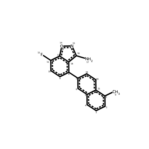 Cc1cccc2cc(-c3ccc(F)c4onc(N)c34)ccc12